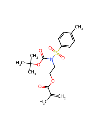 C=C(C)C(=O)OCCN(C(=O)OC(C)(C)C)S(=O)(=O)c1ccc(C)cc1